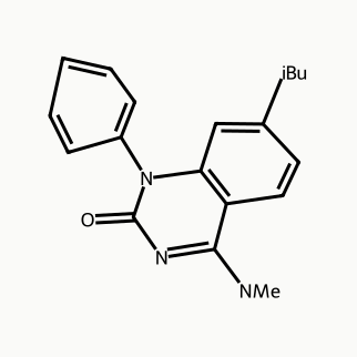 CCC(C)c1ccc2c(NC)nc(=O)n(-c3ccccc3)c2c1